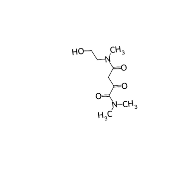 CN(C)C(=O)C(=O)CC(=O)N(C)CCO